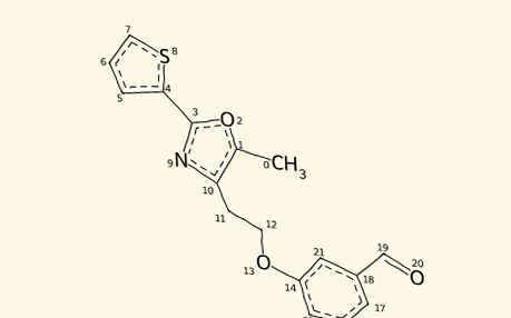 Cc1oc(-c2cccs2)nc1CCOc1cccc(C=O)c1